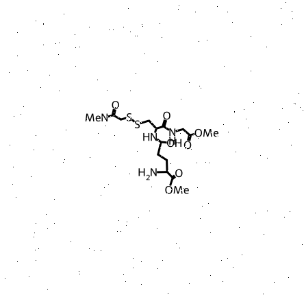 CNC(=O)CSSCC(NC(O)CCC(N)C(=O)OC)C(=O)NCC(=O)OC